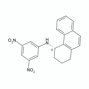 O=[N+]([O-])c1cc(N[C@H]2CCCc3ccc4ccccc4c32)cc([N+](=O)[O-])c1